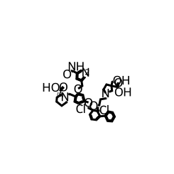 CC1(Cl)C(c2ccccc2)=CC=CC1(COc1cc(OCc2cncc(C(N)=O)c2)c(CN2CCCC[C@H]2C(=O)O)cc1Cl)OCCCN1CCC(CO)(C(=O)O)C1